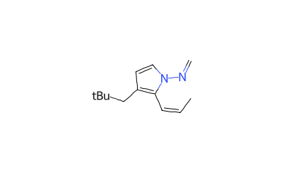 C=Nn1ccc(CC(C)(C)C)c1/C=C\C